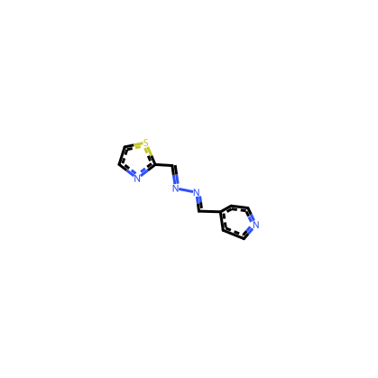 C(=N\N=C\c1nccs1)/c1ccncc1